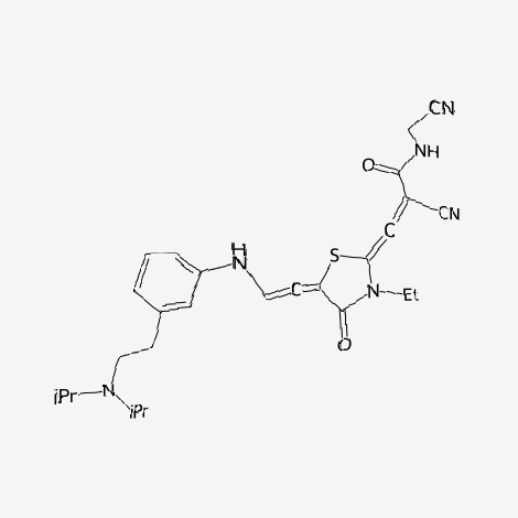 CCn1c(=C=C(C#N)C(=O)NCC#N)sc(=C=CNc2cccc(CCN(C(C)C)C(C)C)c2)c1=O